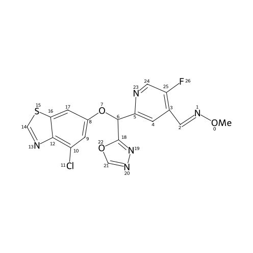 CO/N=C/c1cc(C(Oc2cc(Cl)c3ncsc3c2)c2nnco2)ncc1F